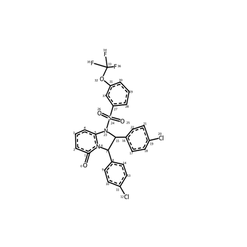 O=c1cccc2n1C(c1ccc(Cl)cc1)C(c1ccc(Cl)cc1)N2S(=O)(=O)c1cccc(OC(F)(F)F)c1